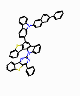 c1ccc(-c2ccc3cc(-n4c5ccccc5c5ccc(-c6cc7c8ccccc8n(-c8nc(-c9ccccc9)c9sc%10ccccc%10c9n8)c7c7c6sc6ccccc67)cc54)ccc3c2)cc1